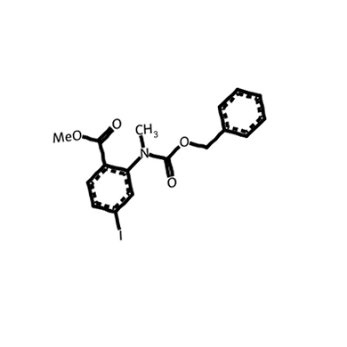 COC(=O)c1ccc(I)cc1N(C)C(=O)OCc1ccccc1